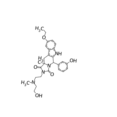 CCOc1ccc2[nH]c3c(c2c1)CC1(C)C(=O)N(CCN(C)CCO)C(=O)N1C3c1cccc(O)c1